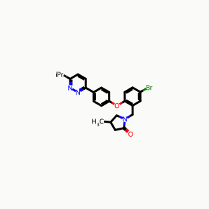 CC1CC(=O)N(Cc2cc(Br)ccc2Oc2ccc(-c3ccc(C(C)C)nn3)cc2)C1